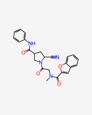 CN(CC(=O)N1CC(C(=O)Nc2ccccc2)CC1C#N)C(=O)c1cc2ccccc2o1